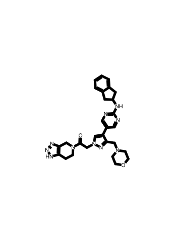 O=C(Cn1cc(-c2cnc(NC3Cc4ccccc4C3)nc2)c(CN2CCOCC2)n1)N1CCc2[nH]nnc2C1